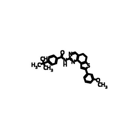 COc1cccc(-c2cc3c(s2)CCc2cnc(NC(=O)c4ccc(C(C)(C)C)cc4)nc2-3)c1